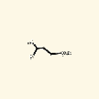 CCCCC(CC)CCC(=O)OCC